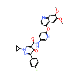 COc1cc2nccc(Oc3ccc(NC(=O)c4cn(C5CC5)nc(-c5ccc(F)cc5)c4=O)cn3)c2cc1OC